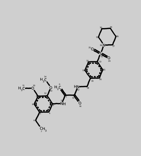 C=C(Nc1cc(CC)cc(OC)c1OC)C(=O)NCc1ccc(S(=O)(=O)N2CCCCC2)cc1